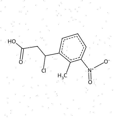 Cc1c(C(Cl)CC(=O)O)cccc1[N+](=O)[O-]